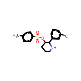 Cc1ccc(S(=O)(=O)OC2CCCNC2c2cccc(Cl)c2)cc1